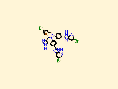 Brc1csc(CN(c2ccc(-c3nc4cc(Br)cnc4[nH]3)cc2)N(Cc2c[nH]cn2)c2ccc(-c3nc4cc(Br)cnc4[nH]3)cc2)c1